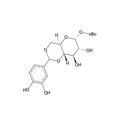 CCCCO[C@H]1O[C@@H]2COC(c3ccc(O)c(O)c3)O[C@H]2[C@H](O)[C@H]1O